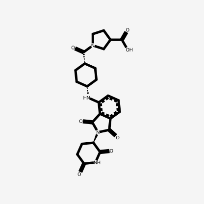 O=C1CC[C@@H](N2C(=O)c3cccc(N[C@H]4CC[C@@H](C(=O)N5CCC(C(=O)O)C5)CC4)c3C2=O)C(=O)N1